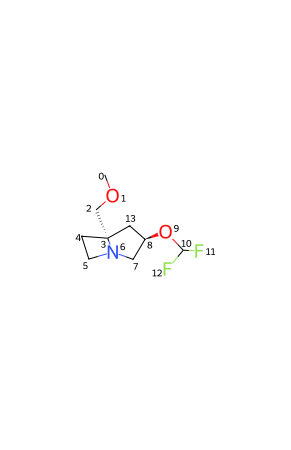 COC[C@@]12CCN1C[C@H](OC(F)F)C2